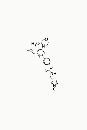 C[C@H]1COCCN1c1cc(CO)nc(-c2ccc(OC(=N)NCc3cnn(C)c3)cc2)n1